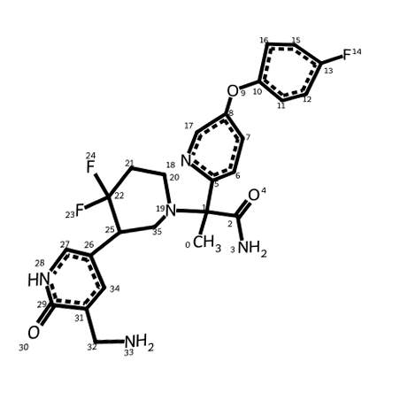 CC(C(N)=O)(c1ccc(Oc2ccc(F)cc2)cn1)N1CCC(F)(F)C(c2c[nH]c(=O)c(CN)c2)C1